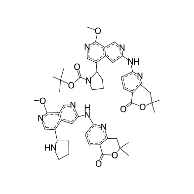 COc1ncc(C2CCCN2)c2cc(Nc3ccc4c(n3)CC(C)(C)OC4=O)ncc12.COc1ncc(C2CCCN2C(=O)OC(C)(C)C)c2cc(Nc3ccc4c(n3)CC(C)(C)OC4=O)ncc12